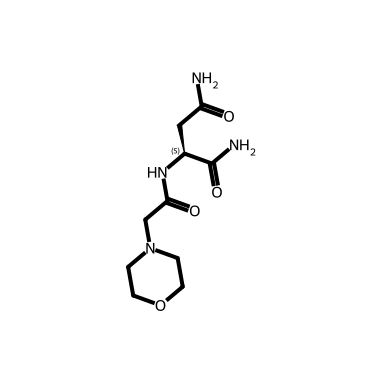 NC(=O)C[C@H](NC(=O)CN1CCOCC1)C(N)=O